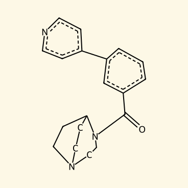 O=C(c1cccc(-c2ccncc2)c1)N1CCN2CCC1CC2